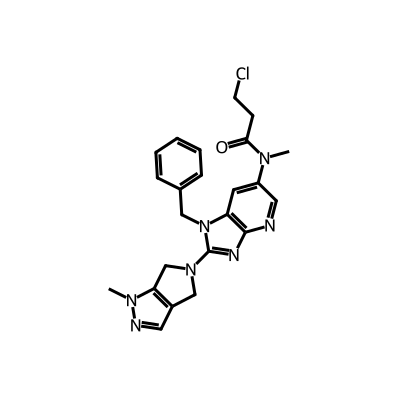 CN(C(=O)CCCl)c1cnc2nc(N3Cc4cnn(C)c4C3)n(Cc3ccccc3)c2c1